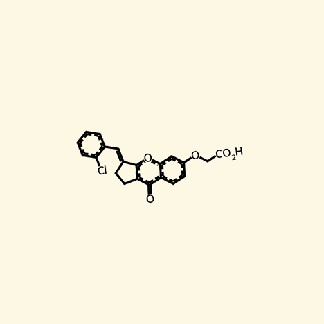 O=C(O)COc1ccc2c(=O)c3c(oc2c1)C(=Cc1ccccc1Cl)CC3